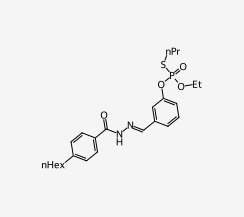 CCCCCCc1ccc(C(=O)NN=Cc2cccc(OP(=O)(OCC)SCCC)c2)cc1